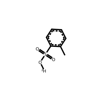 [2H]OS(=O)(=O)c1ccccc1C